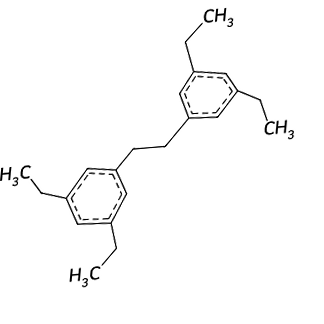 CCc1cc(CC)cc(CCc2cc(CC)cc(CC)c2)c1